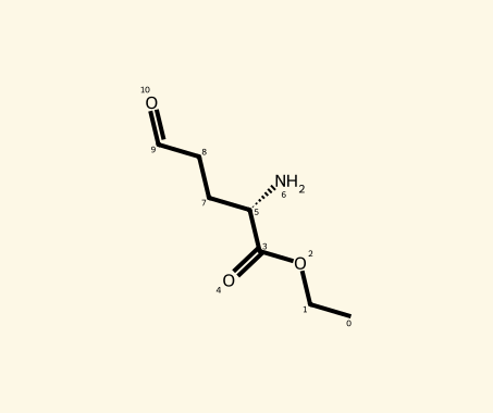 CCOC(=O)[C@@H](N)CCC=O